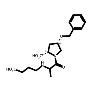 CC(NCCCC(=O)O)C(=O)N1C[C@@H](OCc2ccccc2)C[C@H]1C(=O)O